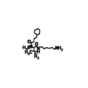 CC(C)C(C(=O)NCCCCCCN)N(C)C(=O)CCCC1CCCCC1